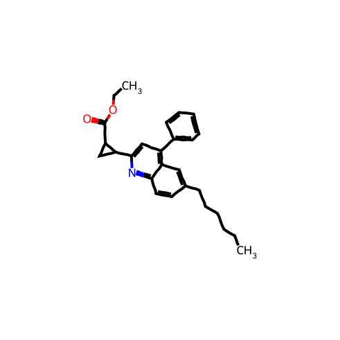 CCCCCCc1ccc2nc(C3CC3C(=O)OCC)cc(-c3ccccc3)c2c1